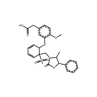 COc1ccc(CC(=O)O)cc1OC1C=CC=CC1(CN1C(=O)OC(c2ccccc2)C1C)S(C)(=O)=O